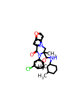 CC1CCCC(NC(=O)C2(C)Cn3c(cc4occc43)C(=O)N2c2cccc(Cl)c2)C1C